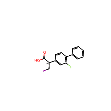 O=C(O)[C@H](CI)c1ccc(-c2ccccc2)c(F)c1